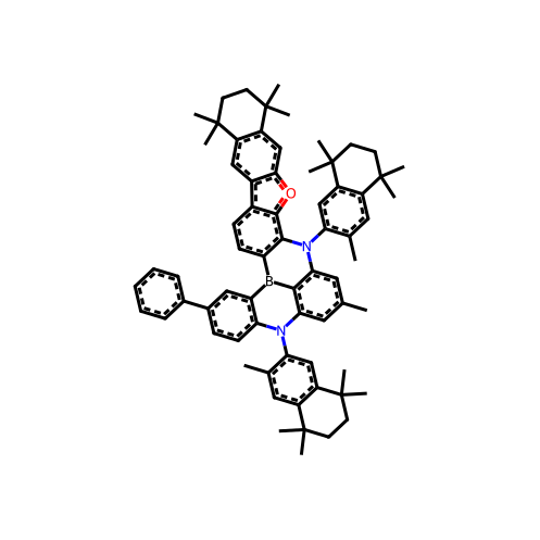 Cc1cc2c3c(c1)N(c1cc4c(cc1C)C(C)(C)CCC4(C)C)c1c(ccc4c1oc1cc5c(cc14)C(C)(C)CCC5(C)C)B3c1cc(-c3ccccc3)ccc1N2c1cc2c(cc1C)C(C)(C)CCC2(C)C